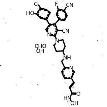 N#Cc1ccc(-c2c(-c3ccc(Cl)c(O)c3)cnc(N3CCC(NCc4ccc(/C=C/C(=O)NO)cn4)CC3)c2C#N)cc1F.O=CO